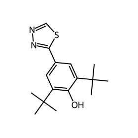 CC(C)(C)c1cc(-c2nncs2)cc(C(C)(C)C)c1O